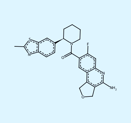 Cc1nc2ccc([C@H]3CCCCN3C(=O)c3cc4c5c(c(N)nc4cc3F)COC5)cc2s1